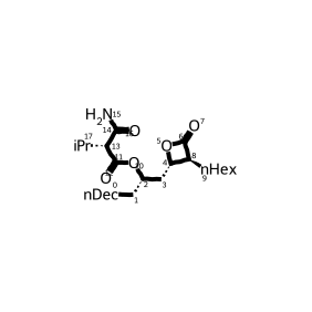 CCCCCCCCCCC[C@@H](C[C@@H]1OC(=O)[C@H]1CCCCCC)OC(=O)[C@@H](C(N)=O)C(C)C